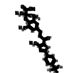 Cc1cc(C=CC(=O)c2sc(-c3ccc(C(F)(F)F)cc3)nc2C)cc(C)c1OC(C)(C)C(=O)O